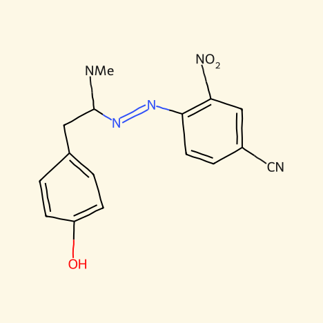 CNC(Cc1ccc(O)cc1)N=Nc1ccc(C#N)cc1[N+](=O)[O-]